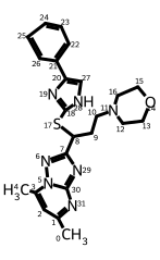 Cc1cc(C)n2nc(C(CCN3CCOCC3)Sc3nc(-c4ccccc4)c[nH]3)nc2n1